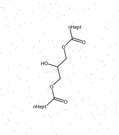 CCCCCCCC(=O)OCC(O)COC(=O)CCCCCCC